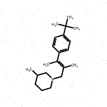 CC(CN1CCCC(C)C1)=C(C)c1ccc(C(C)(C)C)cc1